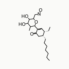 CCCCCCC[C@@H]1CC(=O)C(C2OC(CN=O)C(O)C(O)C2C)=C[C@@H]1CC